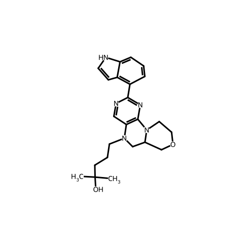 CC(C)(O)CCCN1CC2COCCN2c2nc(-c3cccc4[nH]ccc34)ncc21